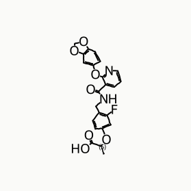 C[C@H](Oc1ccc(CNC(=O)c2cccnc2Oc2ccc3c(c2)OCO3)c(F)c1)C(=O)O